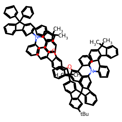 CC(C)(C)c1ccc2c(c1)C1(c3ccccc3-c3cc(N(c4ccccc4-c4cccc5c4-c4ccccc4C5(C)C)c4ccccc4-c4cccc5c4oc4ccccc45)ccc31)c1cc(C(C)(C)Cc3ccc4c(c3)oc3c(-c5ccccc5N(c5ccc6c(c5)-c5ccccc5C6(c5ccccc5)c5ccccc5)c5ccccc5-c5cccc6c5-c5ccccc5C6(C)C)cccc34)ccc1-2